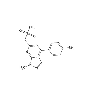 Cn1ncc2c(-c3ccc(N)cc3)cc(CS(C)(=O)=O)nc21